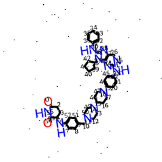 O=C1CCC(Nc2ccc(CN3CCN(C4CCN(c5ccc(Nc6ncc7nc(Nc8ccccc8)n(C8CCCC8)c7n6)cc5)CC4)CC3)cc2)C(=O)N1